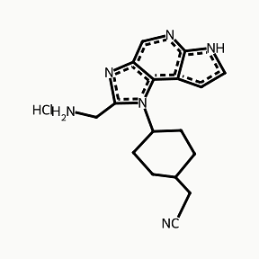 Cl.N#CCC1CCC(n2c(CN)nc3cnc4[nH]ccc4c32)CC1